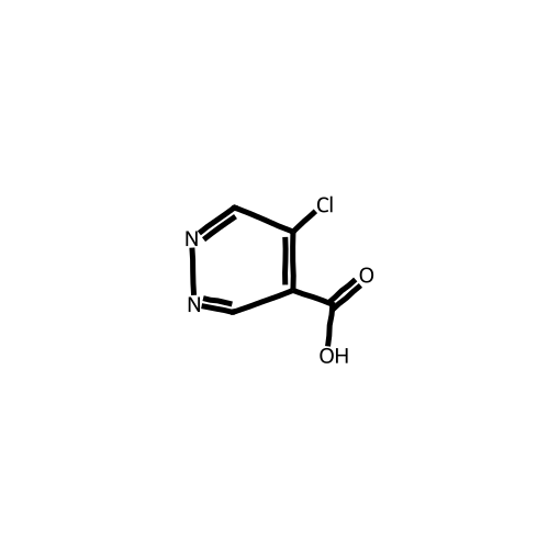 O=C(O)c1cnncc1Cl